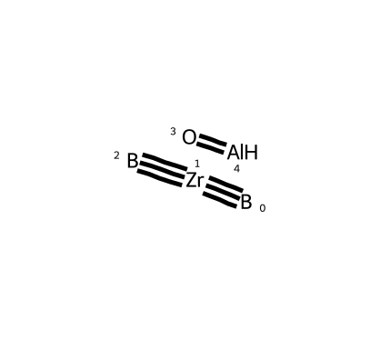 [B]#[Zr]#[B].[O]=[AlH]